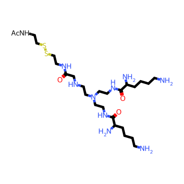 CC(=O)NCCSSCCNC(=O)CNCCN(CCNC(=O)C(N)CCCCN)CCNC(=O)C(N)CCCCN